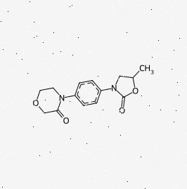 CC1CN(c2ccc(N3CCOCC3=O)cc2)C(=O)O1